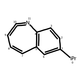 CC(C)c1ccc2c(c1)C=CC=C=N2